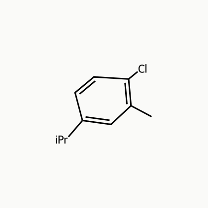 Cc1cc(C(C)C)ccc1Cl